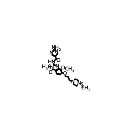 COc1c(OCCCN2CCN(SC)CC2)ccc2c(=O)n(C)c(NC(=O)c3cnc(N)nc3)nc12